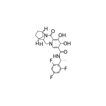 C[C@@H](NC(=O)C1=CN2C[C@H]3[C@@H]4CC[C@@H](C4)N3C(=O)C2=C(O)C1O)c1c(F)cc(F)cc1F